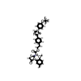 COc1ccc(C)cc1N1C(=O)CS/C1=N\C(=O)OCCc1ccc(-c2ncn(-c3ccc(OC(F)(F)F)cc3)n2)cc1